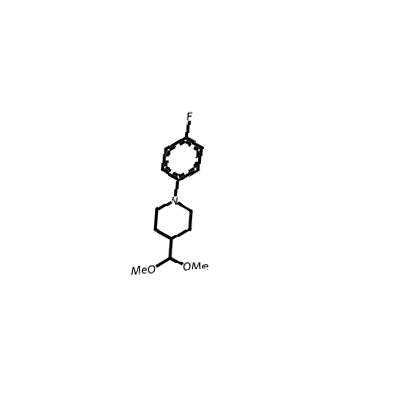 COC(OC)C1CCN(c2ccc(F)cc2)CC1